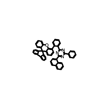 c1ccc(-c2nc(-c3ccccc3-c3cccc4c3Oc3ccccc3C43c4ccccc4-c4ccccc43)nc(-c3cccc4ccccc34)n2)cc1